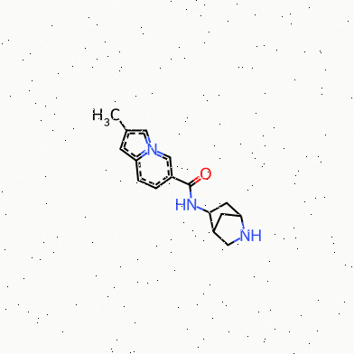 Cc1cc2ccc(C(=O)NC3CC4CC3CN4)cn2c1